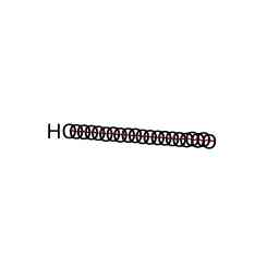 C=CCOCCOCCOCCOCCOCCCOCCCOCCCOCCCOCCCOCCCOCCCOCCCOCCCOCCCOCCCOCCCOCCCOCCCOCCCOCCCO